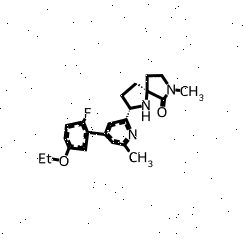 CCOc1ccc(F)c(-c2cc(C)nc([C@@H]3CC[C@@]4(CCN(C)C4=O)N3)c2)c1